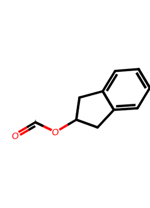 O=[C]OC1Cc2ccccc2C1